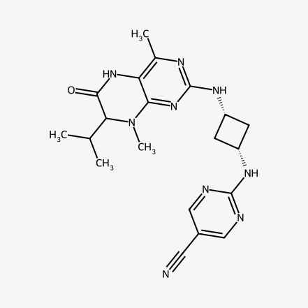 Cc1nc(N[C@H]2C[C@@H](Nc3ncc(C#N)cn3)C2)nc2c1NC(=O)C(C(C)C)N2C